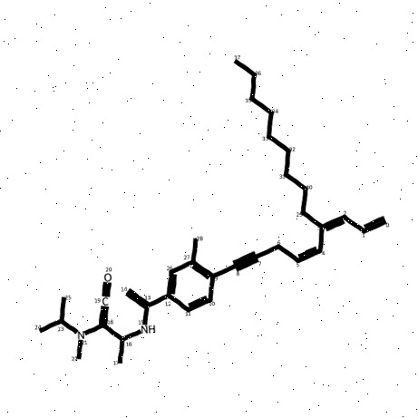 C=C/C=C(\C=C/CC#Cc1ccc(C(=C)NC(C)C(=C=O)N(C)C(C)C)cc1C)CCCCCCCCC